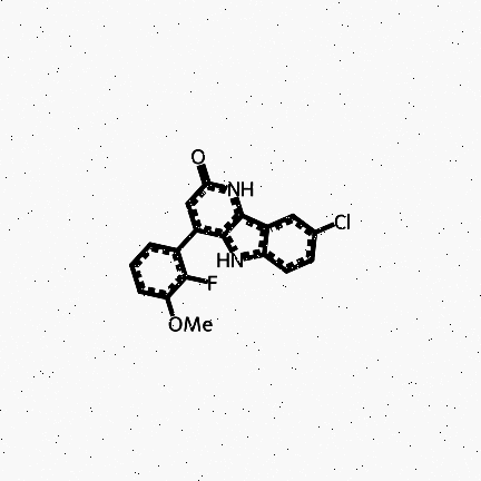 COc1cccc(-c2cc(=O)[nH]c3c2[nH]c2ccc(Cl)cc23)c1F